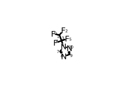 FC(F)C(F)(F)n1cncn1